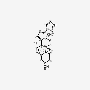 C[C@]12CC[C@H]3[C@@H](CCC4C[C@@H](O)CC[C@@]43C)C1=CC=C2n1ccnn1